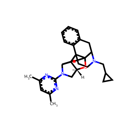 Cc1cc(C)nc(N2C[C@H]3OC45CCC2C3C42CCN(CC3CC3)C5Cc3ccccc32)n1